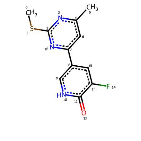 CSc1nc(C)cc(-c2c[nH]c(=O)c(F)c2)n1